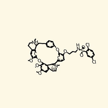 COc1cc2c3cc1Oc1c(OC)c(OC)cc4c1[C@@H](Cc1ccc(OCCCNS(=O)(=O)c5cc(Cl)ccc5Cl)c(c1)Oc1ccc(cc1)C[C@@H]3N(C)CC2)N(C)CC4